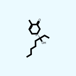 CCCCCC(O)(CC)[C@@H]1CC=C(C)C(=O)C1